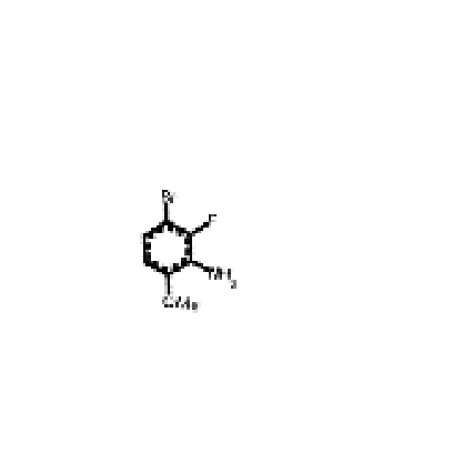 COc1ccc(Br)c(F)c1N